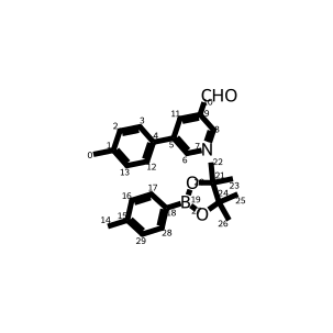 Cc1ccc(-c2cncc(C=O)c2)cc1.Cc1ccc(B2OC(C)(C)C(C)(C)O2)cc1